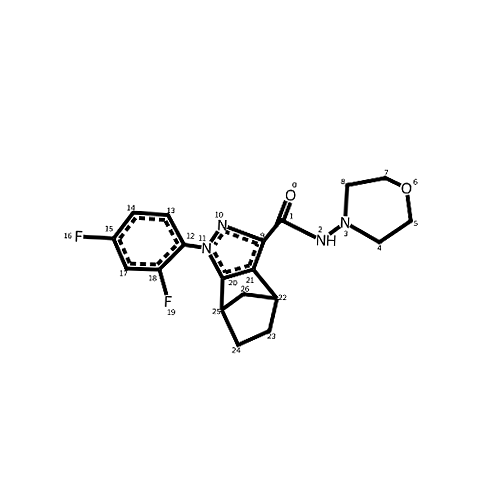 O=C(NN1CCOCC1)c1nn(-c2ccc(F)cc2F)c2c1C1CCC2C1